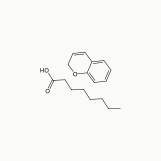 C1=Cc2ccccc2OC1.CCCCCCCC(=O)O